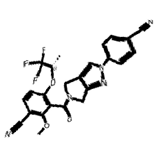 COc1c(C#N)ccc(O[C@@H](C)C(F)(F)F)c1C(=O)N1Cc2cn(-c3ccc(C#N)cc3)nc2C1